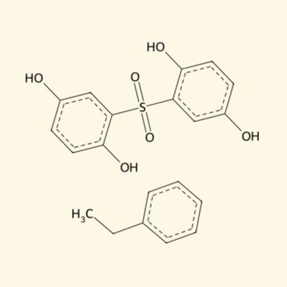 CCc1ccccc1.O=S(=O)(c1cc(O)ccc1O)c1cc(O)ccc1O